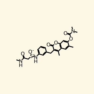 CNC(=O)C[S+]([O-])Nc1cccc(Cc2c(C)c3cc(C)c(OC(=O)N(C)C)cc3oc2=O)c1